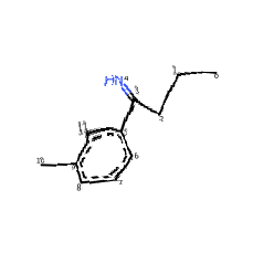 CCCC(=N)c1[c]ccc(C)c1